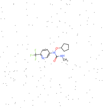 CNC(=O)N(OC1CCCC1)c1ccc(C(F)(F)F)nc1